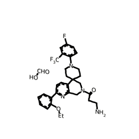 CCOc1ccccc1-c1ccc2c(n1)CN(C(=O)CCN)CC21CCN(c2ccc(F)cc2C(F)(F)F)CC1.O=CO